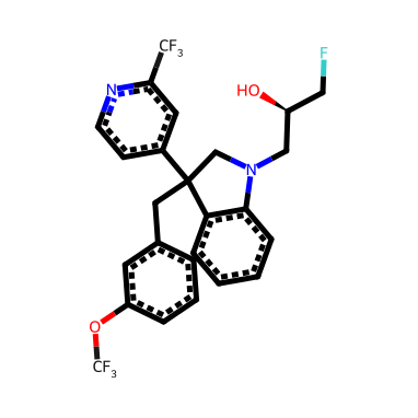 O[C@@H](CF)CN1CC(Cc2cccc(OC(F)(F)F)c2)(c2ccnc(C(F)(F)F)c2)c2ccccc21